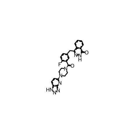 O=C(c1cc(Cc2n[nH]c(=O)c3ccccc23)ccc1F)N1CCN(c2ccc3[nH]nnc3n2)CC1